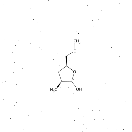 COC[C@@H]1C[C@H](C)C(O)O1